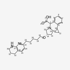 O=C(O)C(c1ccccc1C1CC1)N1CC[C@H](OCCCCCc2ccc3c(n2)NCCC3)C1